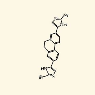 CC(C)c1ncc(-c2ccc3c(c2)CCc2cc(-c4cnc(C(C)C)[nH]4)ccc2-3)[nH]1